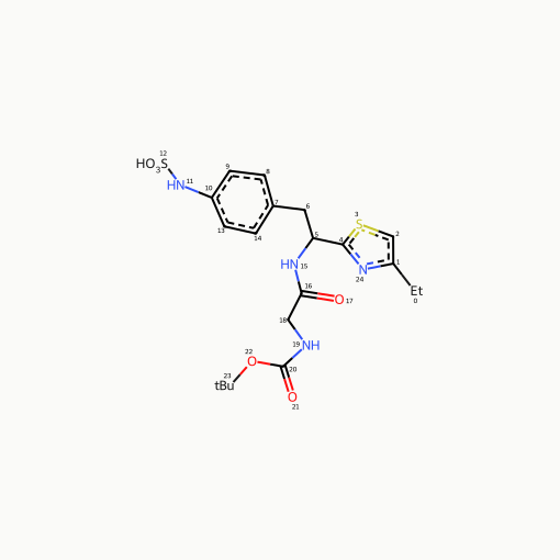 CCc1csc(C(Cc2ccc(NS(=O)(=O)O)cc2)NC(=O)CNC(=O)OC(C)(C)C)n1